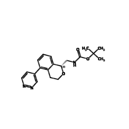 CC(C)(C)OC(=O)NC[C@@H]1OCCc2c(-c3ccnnc3)cccc21